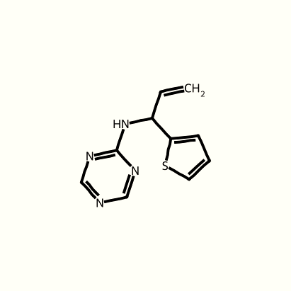 C=CC(Nc1ncncn1)c1cccs1